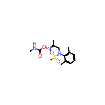 CNC(=O)ON=C(C)CN(c1c(C)cccc1C)S(C)(=O)=O